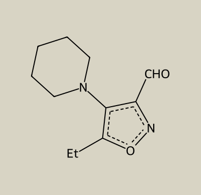 CCc1onc(C=O)c1N1CCCCC1